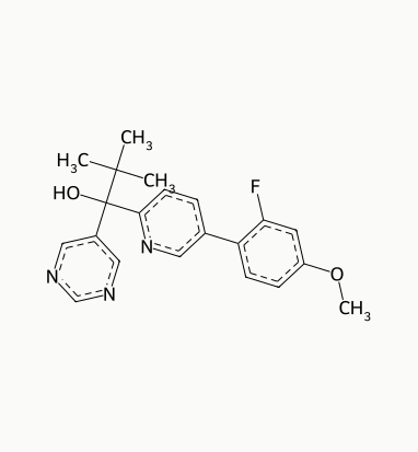 COc1ccc(-c2ccc(C(O)(c3cncnc3)C(C)(C)C)nc2)c(F)c1